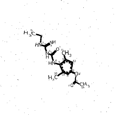 CCNC(=N)NC(=O)Nc1c(C)cc(OC(C)=O)cc1C